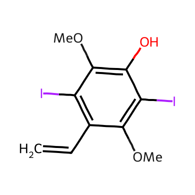 C=Cc1c(I)c(OC)c(O)c(I)c1OC